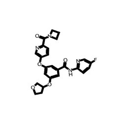 O=C(Nc1ccc(F)cn1)c1cc(Oc2ccc(C(=O)N3CCC3)nc2)cc(OC2CCOC2)c1